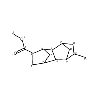 COC(=O)C1CC2CC1C1C3CC(C)C(C3)C21